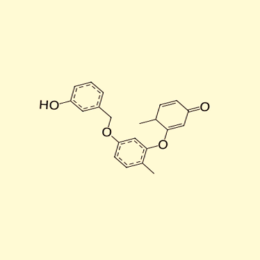 Cc1ccc(OCc2cccc(O)c2)cc1OC1=CC(=O)C=CC1C